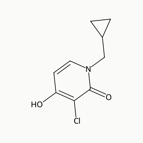 O=c1c(Cl)c(O)ccn1CC1CC1